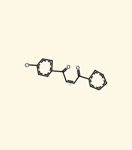 O=C(/C=C\C(=O)c1ccc(Cl)cc1)c1ccccc1